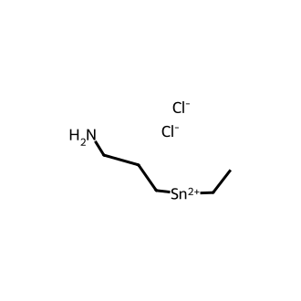 C[CH2][Sn+2][CH2]CCN.[Cl-].[Cl-]